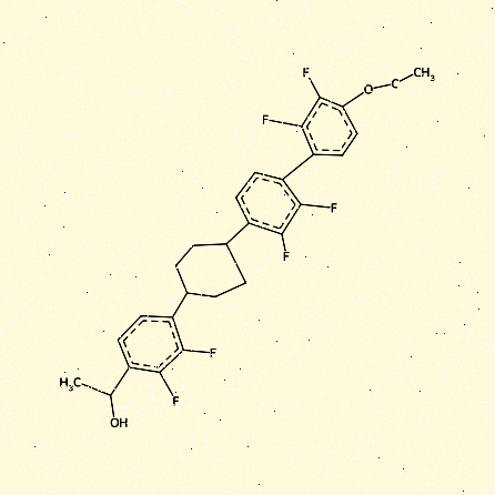 CCOc1ccc(-c2ccc(C3CCC(c4ccc(C(C)O)c(F)c4F)CC3)c(F)c2F)c(F)c1F